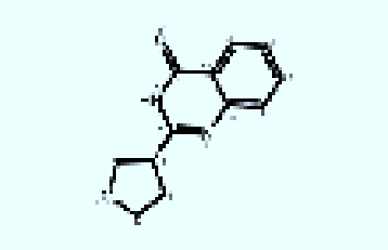 O=c1[nH]c([C@H]2CCOC2)nc2ccccc12